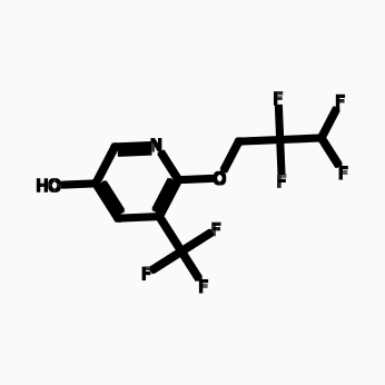 Oc1cnc(OCC(F)(F)C(F)F)c(C(F)(F)F)c1